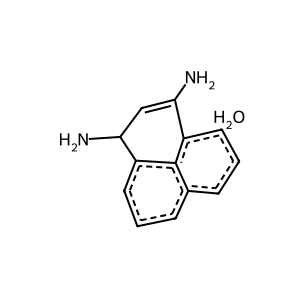 NC1=CC(N)c2cccc3cccc1c23.O